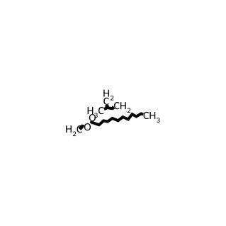 C=CC(=C)C.C=COC(=O)CCCCCCCCCCC